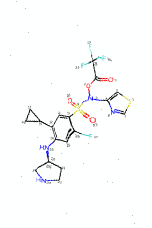 O=C(ON(c1cscn1)S(=O)(=O)c1cc(C2CC2)c(N[C@H]2CCNC2)cc1F)C(F)(F)F